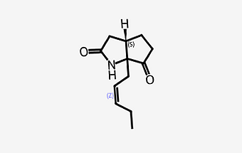 CC/C=C\CC12NC(=O)C[C@@H]1CCC2=O